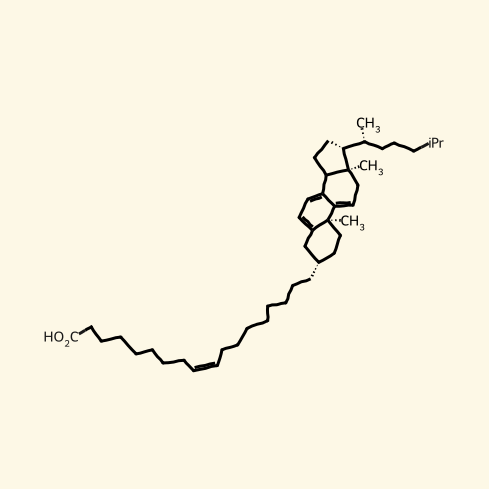 CC(C)CCC[C@@H](C)[C@H]1CCC2C3=CC=C4C[C@@H](CCCCCCCC/C=C\CCCCCCCC(=O)O)CC[C@]4(C)C3=CC[C@@]21C